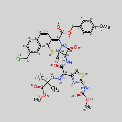 COc1ccc(COC(=O)C2=C(/C=C\c3ccc(CCl)cc3)CS[C@H]3[C@H](NC(=O)/C(=N\OC(C)(C)C(=O)OC(C)(C)C)c4csc(NC(=O)OC(C)(C)C)n4)C(=O)N23)cc1